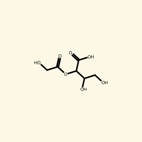 O=C(CO)OC(C(=O)O)C(O)CO